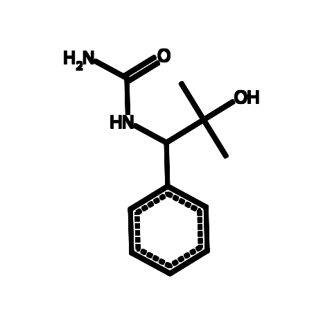 CC(C)(O)C(NC(N)=O)c1ccccc1